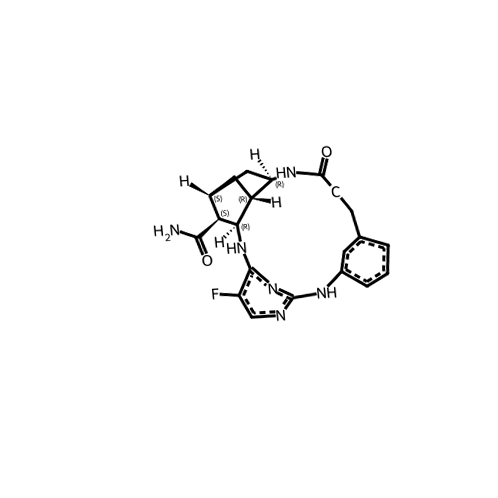 NC(=O)[C@H]1[C@H]2C[C@H]3[C@H]1Nc1nc(ncc1F)Nc1cccc(c1)CCC(=O)N[C@@H]3C2